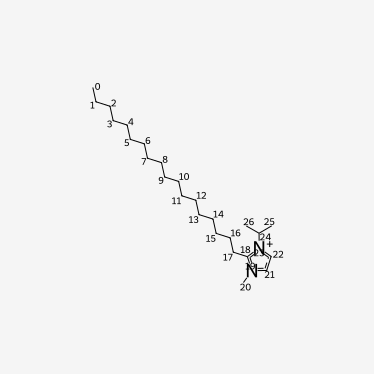 CCCCCCCCCCCCCCCCCCc1n(C)cc[n+]1C(C)C